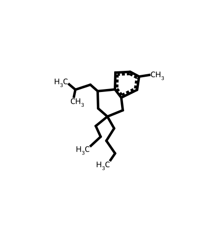 CCCCC1(CCC)Cc2cc(C)ccc2C(CC(C)C)C1